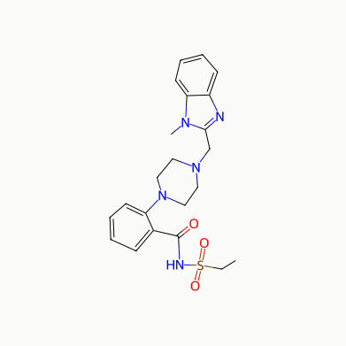 CCS(=O)(=O)NC(=O)c1ccccc1N1CCN(Cc2nc3ccccc3n2C)CC1